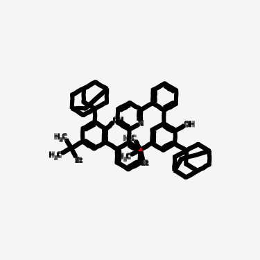 CCC(C)(C)c1cc(-c2ccccc2-c2cccc(-c3ccccc3-c3cc(C(C)(C)CC)cc(C45CC6CC(CC(C6)C4)C5)c3O)n2)c(O)c(C23CC4CC(CC(C4)C2)C3)c1